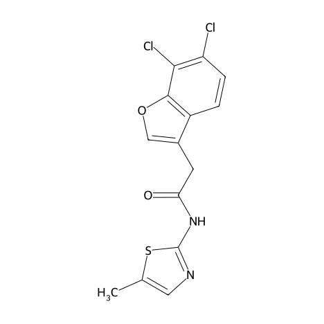 Cc1cnc(NC(=O)Cc2coc3c(Cl)c(Cl)ccc23)s1